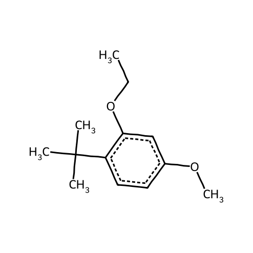 CCOc1cc(OC)ccc1C(C)(C)C